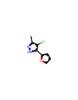 Cc1n[nH]c(-c2ccco2)c1Cl